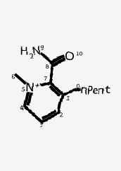 CCCCCc1ccc[n+](C)c1C(N)=O